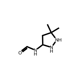 CC1(C)CC(NC=O)NN1